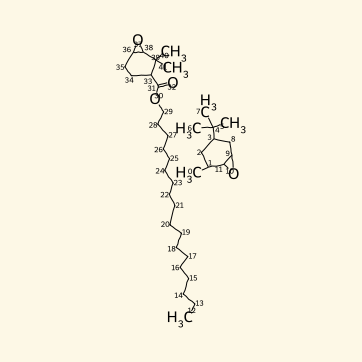 CC1CC(C(C)(C)C)CC2OC12.CCCCCCCCCCCCCCCCCCOC(=O)C1CCC2OC2C1(C)C